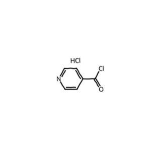 Cl.O=C(Cl)c1ccncc1